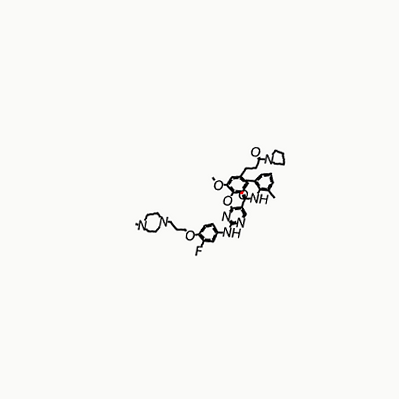 COc1cc(CCC(=O)N2CCCC2)ccc1Oc1nc(Nc2ccc(OCCCN3CCN(C)CC3)c(F)c2)ncc1C(=O)Nc1c(C)cccc1C